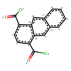 O=C(Cl)c1ccc(C(=O)Cl)c2cc3ccccc3cc12